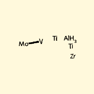 [AlH3].[Ti].[Ti].[V][Mo].[Zr]